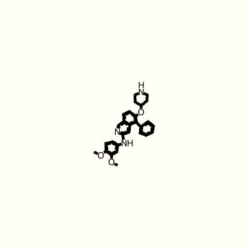 COc1ccc(Nc2cc3c(-c4ccccc4)c(OC4CCNCC4)ccc3cn2)cc1OC